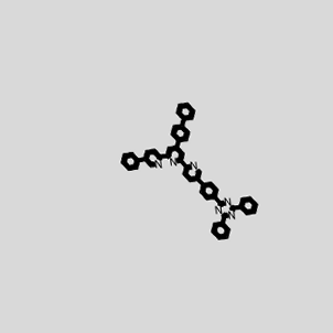 c1ccc(-c2ccc(-c3cc(-c4ccc(-c5ccccc5)cn4)nc(-c4ccc(-c5ccc(-c6nc(-c7ccccc7)nc(-c7ccccc7)n6)cc5)cn4)c3)cc2)cc1